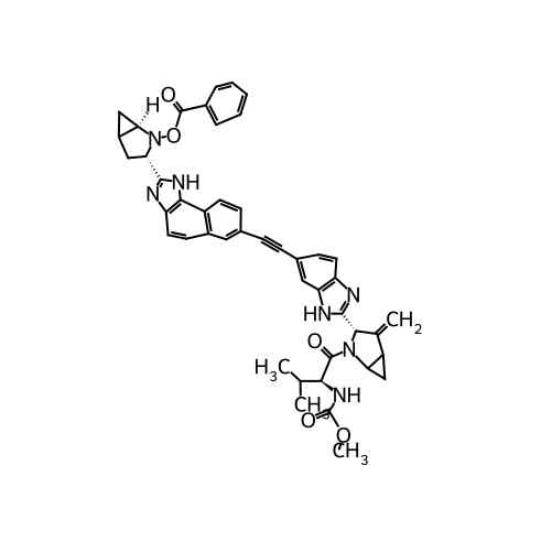 C=C1C2CC2N(C(=O)[C@@H](NC(=O)OC)C(C)C)[C@@H]1c1nc2ccc(C#Cc3ccc4c(ccc5nc([C@@H]6CC7C[C@H]7N6OC(=O)c6ccccc6)[nH]c54)c3)cc2[nH]1